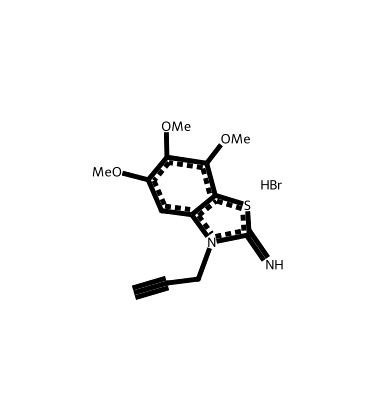 Br.C#CCn1c(=N)sc2c(OC)c(OC)c(OC)cc21